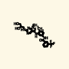 Cc1ccc(NC(=O)c2cccc(C(F)(F)F)c2)cc1Nc1nn(C)c2nc(NCC(O)CO)ncc12